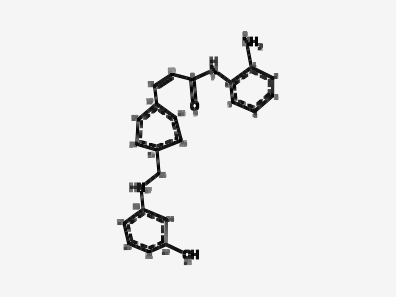 Nc1ccccc1NC(=O)/C=C\c1ccc(CNc2cccc(O)c2)cc1